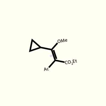 CCOC(=O)/C(C(C)=O)=C(\OC)C1CC1